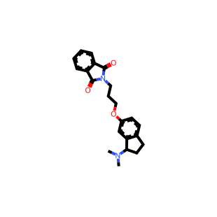 CN(C)C1CCc2ccc(OCCCN3C(=O)c4ccccc4C3=O)cc21